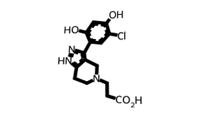 O=C(O)CCN1CCc2[nH]nc(-c3cc(Cl)c(O)cc3O)c2C1